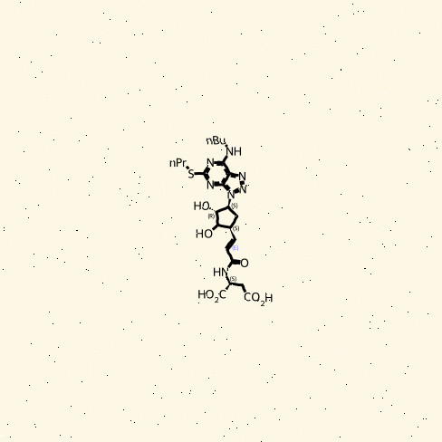 CCCCNc1nc(SCCC)nc2c1nnn2[C@H]1C[C@@H](/C=C/C(=O)N[C@@H](CC(=O)O)C(=O)O)C(O)[C@@H]1O